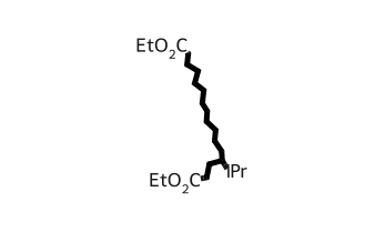 CCOC(=O)CCCCCCCCCCCC(CCC(=O)OCC)C(C)C